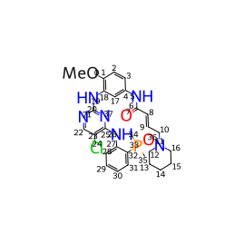 COc1ccc(NC(=O)C=CCN2CCCCC2)cc1Nc1ncc(Cl)c(Nc2ccccc2P(C)(C)=O)n1